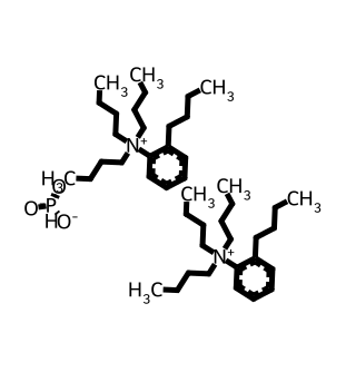 CCCCc1ccccc1[N+](CCCC)(CCCC)CCCC.CCCCc1ccccc1[N+](CCCC)(CCCC)CCCC.O=[PH]([O-])[O-]